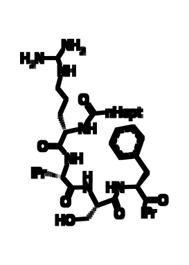 CCCCCCCC(=O)N[C@@H](CCCNC(N)N)C(=O)N[C@H](C(=O)N[C@@H](CO)C(=O)N[C@@H](Cc1ccccc1)C(=O)C(C)C)C(C)C